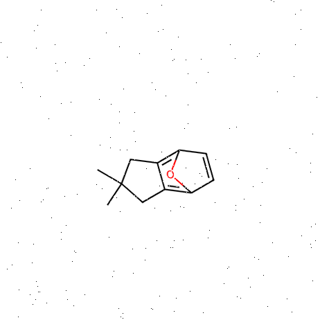 CC1(C)Cc2c(c3ccc2o3)C1